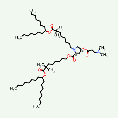 CCCCCCCCC(CCCCCCCC)OC(=O)C(C)(C)CCCCCCOC(=O)[C@@H]1C[C@H](OC(=O)CCN(C)C)CN1CCCCCCC(C)(C)C(=O)OC(CCCCCCC)CCCCCCC